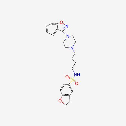 O=S(=O)(NCCCCN1CCN(c2noc3ccccc23)CC1)c1ccc2c(c1)CCO2